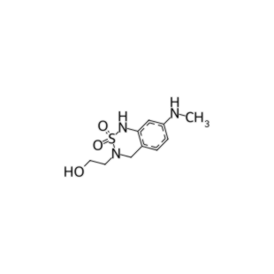 CNc1ccc2c(c1)NS(=O)(=O)N(CCO)C2